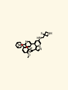 COc1ccc(CN2C3CC2CN(c2ccc(-c4cc(NCC5(F)CNC5)cn5ncc(C#N)c45)cn2)C3)cc1F